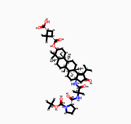 CC(C)C1=C2[C@H]3CC[C@@H]4[C@@]5(C)CC[C@H](OC(=O)[C@H]6C[C@@H](C(=O)O)C6(C)C)C(C)(C)[C@@H]5CC[C@@]4(C)[C@]3(C)CC[C@@]2(NC(=O)C(C)(C)NC(=O)[C@@H]2CCCN2C(=O)OC(C)(C)C)CC1=O